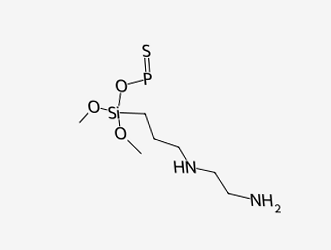 CO[Si](CCCNCCN)(OC)OP=S